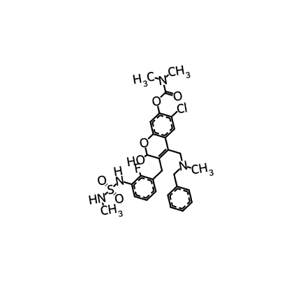 CNS(=O)(=O)Nc1cccc(CC2=C(CN(C)Cc3ccccc3)c3cc(Cl)c(OC(=O)N(C)C)cc3OC2O)c1F